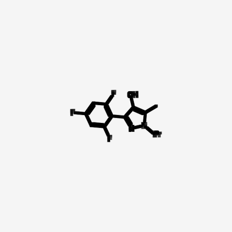 Cc1c(O)c(-c2c(F)cc(F)cc2F)nn1C(C)C